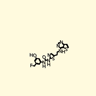 O=C(Nc1cc(O)cc(CF)c1)Nc1ncc(CCNc2ncnc3ccsc23)s1